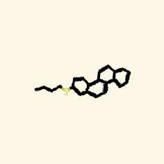 CCCCSc1ccc2c(ccc3c4ccccc4ccc23)c1